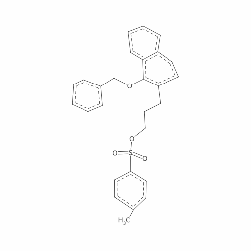 Cc1ccc(S(=O)(=O)OCCCc2ccc3ccccc3c2OCc2ccccc2)cc1